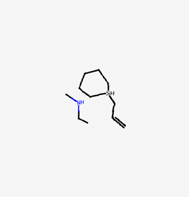 C=CC[SiH]1CCCCC1.CCNC